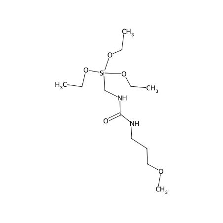 CCO[Si](CNC(=O)NCCCOC)(OCC)OCC